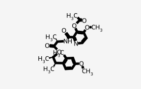 COc1ccc([C@@H](C)[C@@H](C)OC(=O)[C@H](C)NC(=O)c2nccc(OC)c2OC(C)=O)c(C)c1